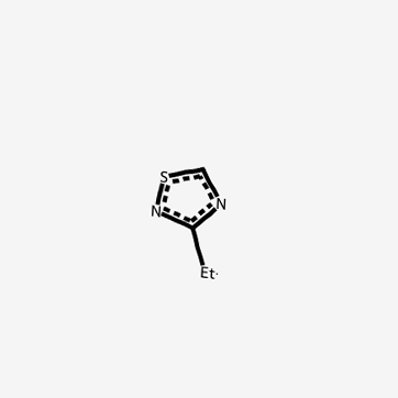 C[CH]c1ncsn1